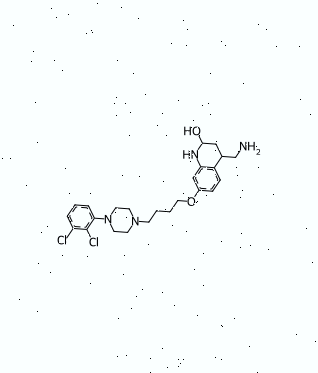 NCC1CC(O)Nc2cc(OCCCCN3CCN(c4cccc(Cl)c4Cl)CC3)ccc21